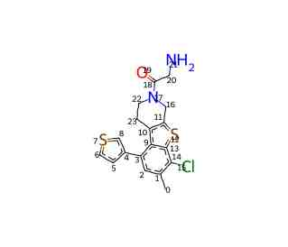 Cc1cc(-c2ccsc2)c2c3c(sc2c1Cl)CN(C(=O)CN)CC3